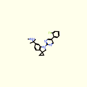 CNC(C)(C)c1ccc2c(c1)N(c1ncc(-c3ccccc3F)cn1)CC21CC1